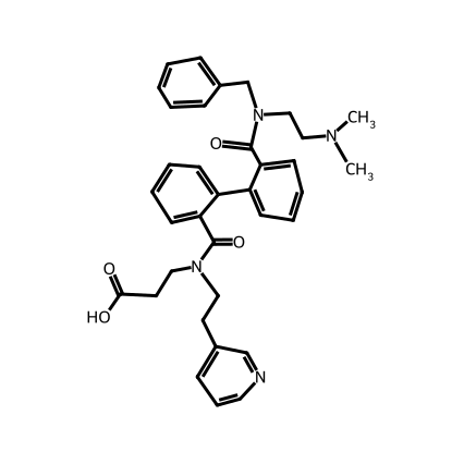 CN(C)CCN(Cc1ccccc1)C(=O)c1ccccc1-c1ccccc1C(=O)N(CCC(=O)O)CCc1cccnc1